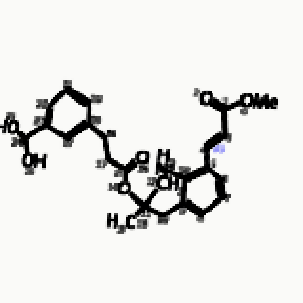 COC(=O)/C=C/c1cccc(CC(C)(C)OC(=O)CCc2cccc(C(O)O)c2)c1N